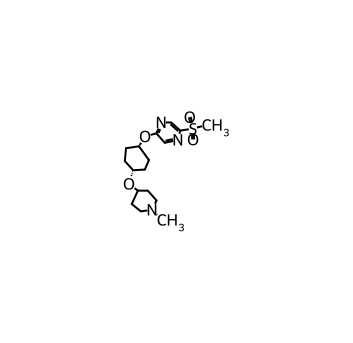 CN1CCC(O[C@H]2CC[C@H](Oc3cnc(S(C)(=O)=O)cn3)CC2)CC1